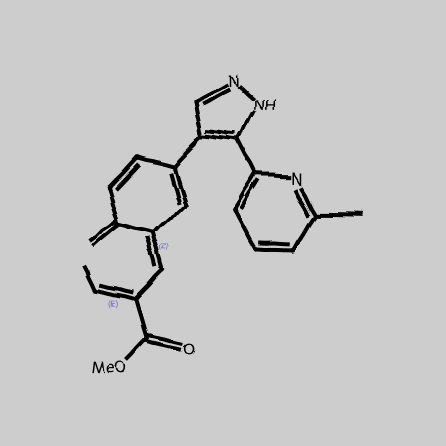 C=c1ccc(-c2cn[nH]c2-c2cccc(C)n2)c/c1=C/C(=C\C)C(=O)OC